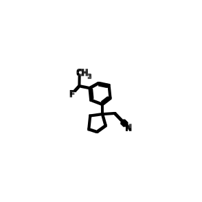 CC(F)c1cccc(C2(CC#N)CCCC2)c1